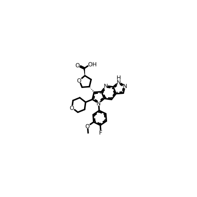 COc1cc(-n2c(C3CCOCC3)c([C@@H]3CO[C@@H](C(=O)O)C3)c3nc4[nH]ncc4cc32)ccc1F